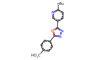 CCCCc1ccc(-c2nnc(-c3ccc(C(=O)O)cc3)o2)cn1